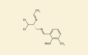 CC=N[C@H](CN=Cc1cccc(C)c1OC)C(CC)CC